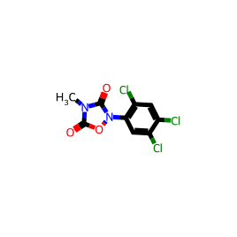 Cn1c(=O)on(-c2cc(Cl)c(Cl)cc2Cl)c1=O